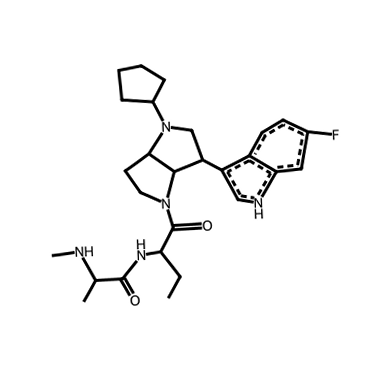 CCC(NC(=O)C(C)NC)C(=O)N1CCC2C1C(c1c[nH]c3cc(F)ccc13)CN2C1CCCC1